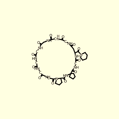 O=C1CNC(=O)CNC(=O)CNC(=O)CC(C(=O)N2CCCCC2)NC(=O)CNC(=O)C2(CCCC2)NC(=O)C2CCCN2C(=O)CNC(=O)CNC(=O)CNC(=O)CN1